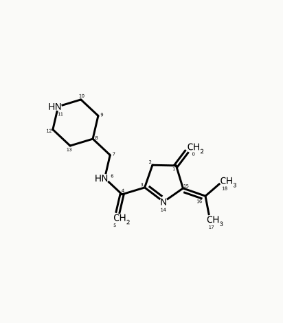 C=C1CC(C(=C)NCC2CCNCC2)=NC1=C(C)C